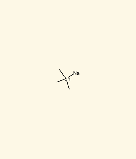 [CH3][Sn]([CH3])([CH3])[Na]